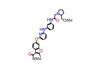 CNC(=O)c1c(C)oc2cc(Oc3cccc(Nc4cccc(NC(=O)CN5CCCC5COC)c4)n3)ccc12